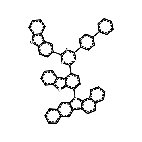 c1ccc(-c2ccc(-c3nc(-c4ccc5oc6ccccc6c5c4)nc(-c4ccc(-n5c6cc7ccccc7cc6c6ccc7ccccc7c65)c5oc6ccccc6c45)n3)cc2)cc1